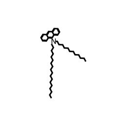 CCCCCCCCCCCCCCCCCCN(CCCCCCCCCCCC)c1c2ccccc2cc2ccccc12